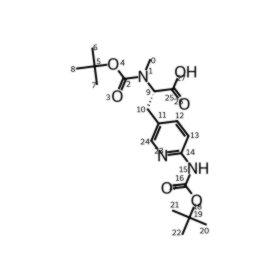 CN(C(=O)OC(C)(C)C)[C@@H](Cc1ccc(NC(=O)OC(C)(C)C)nc1)C(=O)O